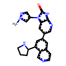 Cn1cc(-n2c(=O)[nH]c3ncc(-c4cc(C5CCCN5)c5cnccc5c4)cc32)cn1